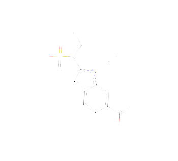 CCC(c1cc2ccc(C(=O)[O-])cc2[nH]1)S(=O)(=O)[O-].[K+].[K+]